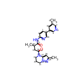 Cc1cncc(-c2ccc(NC(=O)C(C)CC(=O)N3CCCn4nc(C)cc43)nc2)c1